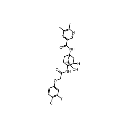 Cc1ncc(C(=O)NC23CCC(NC(=O)COc4ccc(Cl)c(F)c4)(CC2)[C@@H](O)C3)nc1C